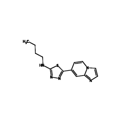 CCCCNc1nnc(-c2ccn3ccnc3c2)s1